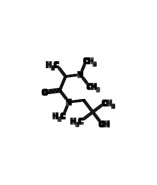 CC(C(=O)N(C)CC(C)(C)O)N(C)C